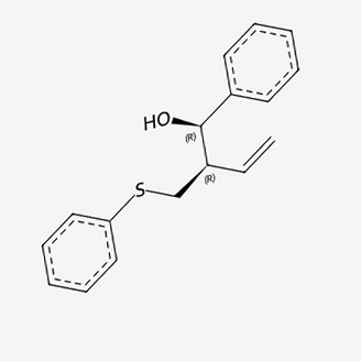 C=C[C@@H](CSc1ccccc1)[C@@H](O)c1ccccc1